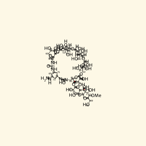 CO[C@H]1C(O)C(O)[C@@H](O[C@H]2C(O)C(O)[C@@H](O[C@H]3C(O)C(O)[C@H]4OC5C(O)C(O)[C@H](O[C@@H]5CO)O[C@H]5C(O)C(O)[C@H](O[C@@H]5CO)O[C@H]5C(O)C(O)[C@H](O[C@@H]5CO)O[C@H]5C(O)C(O)CO[C@@H]5CNC(=O)Nc5cc(NN)cc(c5)NC(=O)NC[C@H]3O4)O[C@@H]2CO)O[C@@H]1CO